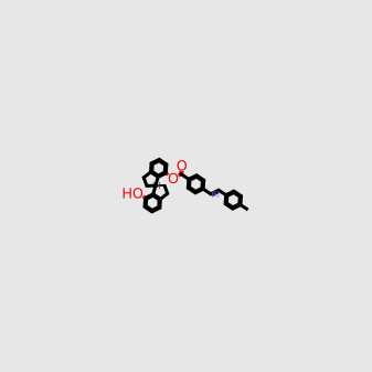 Cc1ccc(/C=C/c2ccc(C(=O)Oc3cccc4c3[C@@]3(CCc5cccc(O)c53)CC4)cc2)cc1